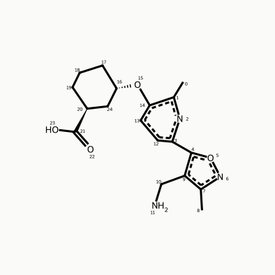 Cc1nc(-c2onc(C)c2CN)ccc1O[C@H]1CCC[C@H](C(=O)O)C1